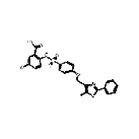 Cc1oc(-c2ccccc2)nc1COc1ccc(S(=O)(=O)Nc2ccc(Cl)cc2C(=O)O)cc1